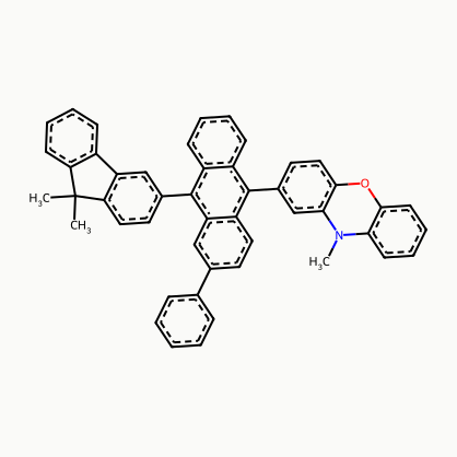 CN1c2ccccc2Oc2ccc(-c3c4ccccc4c(-c4ccc5c(c4)-c4ccccc4C5(C)C)c4cc(-c5ccccc5)ccc34)cc21